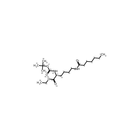 CCCCCCC(=O)NCCCC[C@H](NC(=O)OC(C)(C)C)C(=O)OCC